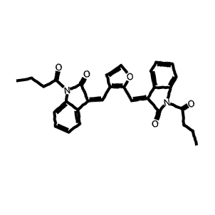 CCCC(=O)N1C(=O)C(=Cc2ccoc2C=C2C(=O)N(C(=O)CCC)c3ccccc32)c2ccccc21